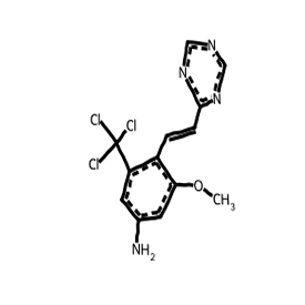 COc1cc(N)cc(C(Cl)(Cl)Cl)c1C=Cc1ncncn1